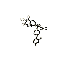 CCn1c(=O)[nH]c2cc(CN3CCN(c4ccc(F)cc4F)CC3)ccc2c1=O.O=CO